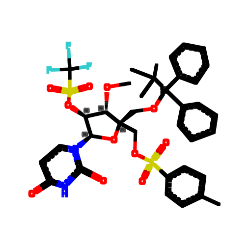 CO[C@H]1[C@H](OS(=O)(=O)C(F)(F)F)[C@H](n2ccc(=O)[nH]c2=O)O[C@@]1(CO[Si](c1ccccc1)(c1ccccc1)C(C)(C)C)COS(=O)(=O)c1ccc(C)cc1